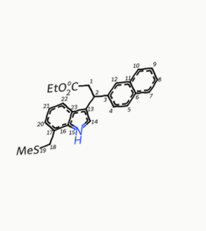 CCOC(=O)CC(c1ccc2ccccc2c1)c1c[nH]c2c(CSC)cccc12